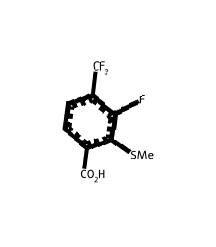 CSc1c(C(=O)O)ccc(C(F)(F)F)c1F